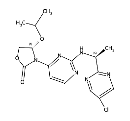 CC(C)O[C@H]1COC(=O)N1c1ccnc(N[C@@H](C)c2ncc(Cl)cn2)n1